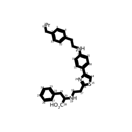 CC(C)Cc1ccc(CCNc2ccc(-c3csc(CCNC(Cc4ccccc4)C(=O)O)n3)cc2)cc1